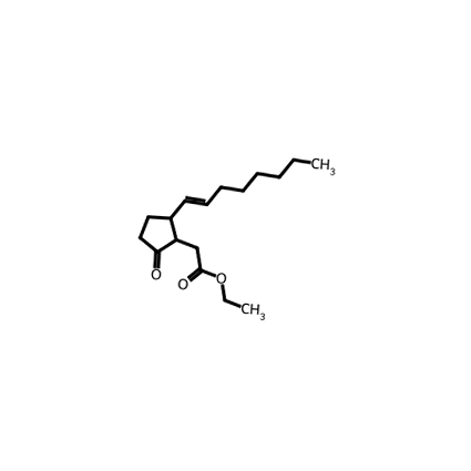 CCCCCCC=CC1CCC(=O)C1CC(=O)OCC